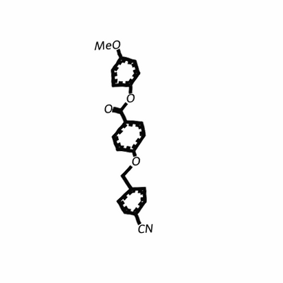 COc1ccc(OC(=O)c2ccc(OCc3ccc(C#N)cc3)cc2)cc1